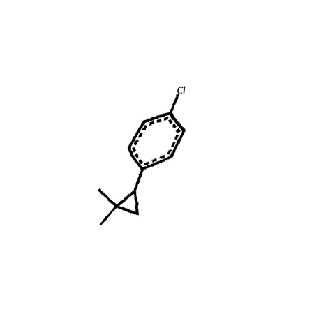 CC1(C)C[C]1c1ccc(Cl)cc1